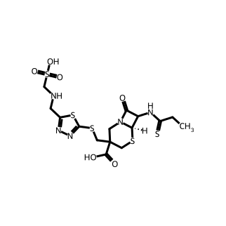 CCC(=S)NC1C(=O)N2CC(CSc3nnc(CNCS(=O)(=O)O)s3)(C(=O)O)CS[C@H]12